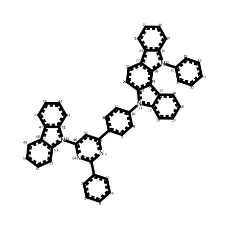 c1ccc(-c2nc(-c3ccc(-n4c5ccccc5c5c4ccc4c6ccccc6n(-c6ccccc6)c45)cc3)cc(-n3c4ccccc4c4ccccc43)n2)cc1